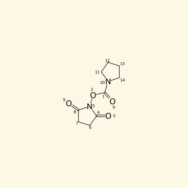 O=C(ON1C(=O)CCC1=O)N1CCCC1